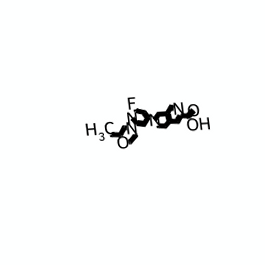 CCC1CN(c2cc(N3CCc4cc(C(=O)O)ncc4C3)cc(F)n2)CCO1